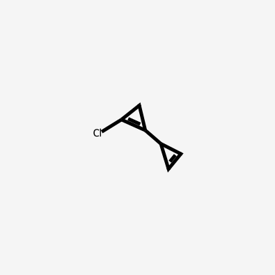 ClC1=C(C2C=C2)C1